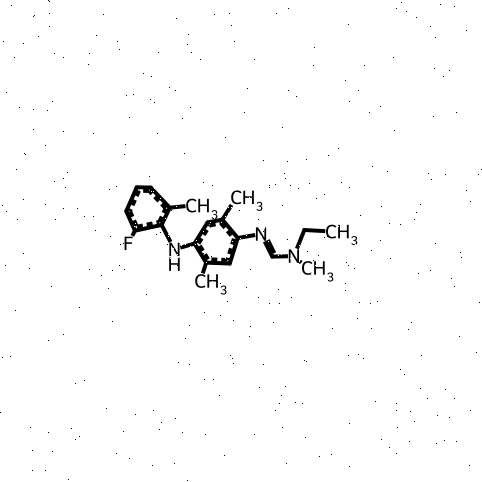 CCN(C)C=Nc1cc(C)c(Nc2c(C)cccc2F)cc1C